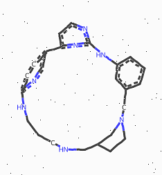 c1cc2cc(c1)Nc1nccc(n1)-c1ccc(nc1)NCCCNCC1CCN(C2)C1